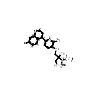 CC(C)CC(C)(COc1ccc(-c2ccnc3cc(F)ccc23)nc1Cl)N(C(=O)O)C(C)(C)C